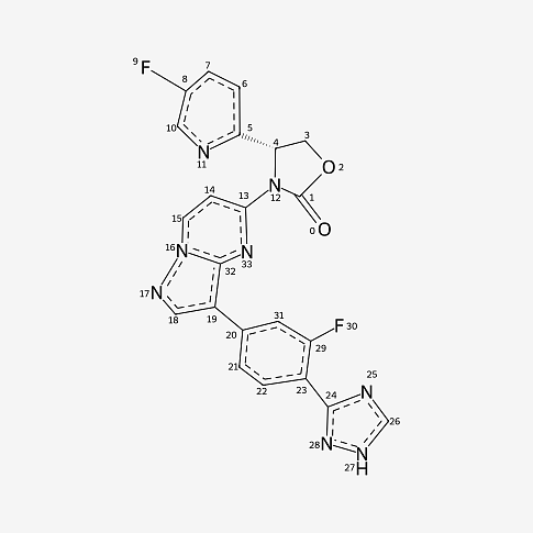 O=C1OC[C@@H](c2ccc(F)cn2)N1c1ccn2ncc(-c3ccc(-c4nc[nH]n4)c(F)c3)c2n1